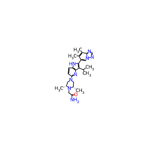 Cc1c(-c2[nH]c3ccc(N4C[C@@H](C)N(CC(N)=O)[C@@H](C)C4)nc3c2C(C)C)cn2ncnc2c1C